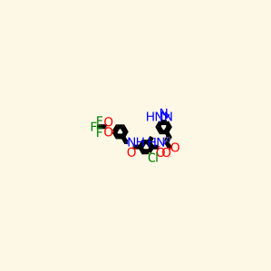 COC(=O)/C(=C/c1ccc2[nH]nnc2c1)NC(=O)c1c(C)cc(C(=O)NCc2cccc(OC(=O)C(F)(F)F)c2)cc1Cl